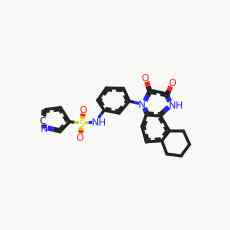 O=c1[nH]c2c3c(ccc2n(-c2cccc(NS(=O)(=O)c4cccnc4)c2)c1=O)CCCC3